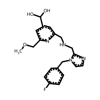 COCc1cc(C(O)O)cc(CNCc2nccn2Cc2ccc(F)cc2)n1